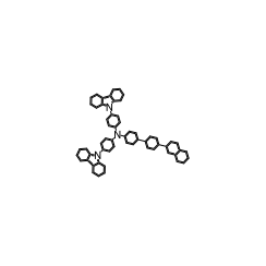 c1ccc2cc(-c3ccc(-c4ccc(N(c5ccc(-n6c7ccccc7c7ccccc76)cc5)c5ccc(-n6c7ccccc7c7ccccc76)cc5)cc4)cc3)ccc2c1